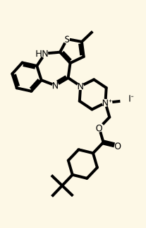 Cc1cc2c(s1)Nc1ccccc1N=C2N1CC[N+](C)(COC(=O)C2CCC(C(C)(C)C)CC2)CC1.[I-]